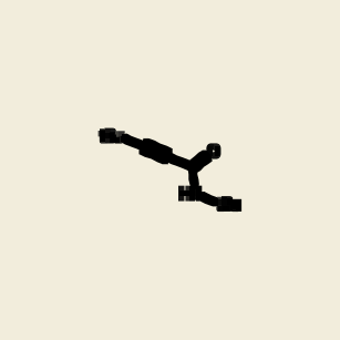 CC(C)(C)C#CC(=O)NC(C)(C)C